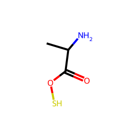 CC(N)C(=O)OS